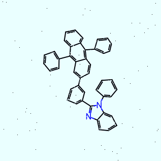 c1ccc(-c2c3ccccc3c(-c3ccccc3)c3cc(-c4cccc(-c5nc6ccccc6n5-c5ccccc5)c4)ccc23)cc1